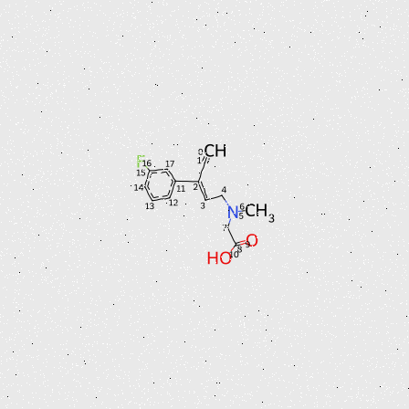 C#CC(=CCN(C)CC(=O)O)c1cccc(F)c1